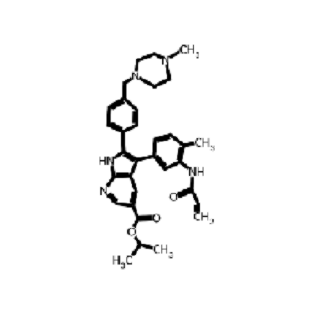 C=CC(=O)Nc1cc(-c2c(-c3ccc(CN4CCN(C)CC4)cc3)[nH]c3ncc(C(=O)OC(C)C)cc23)ccc1C